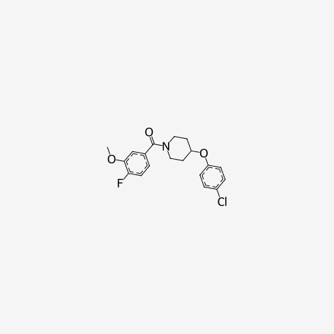 COc1cc(C(=O)N2CCC(Oc3ccc(Cl)cc3)CC2)ccc1F